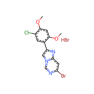 Br.COc1cc(OC)c(-c2cn3cnc(Br)cc3n2)cc1Cl